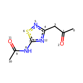 CC(=O)Cc1nsc(NC(C)=O)n1